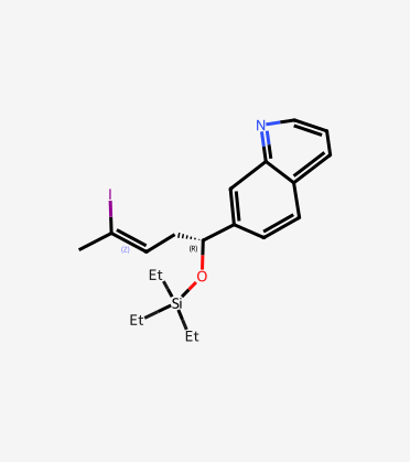 CC[Si](CC)(CC)O[C@H](C/C=C(/C)I)c1ccc2cccnc2c1